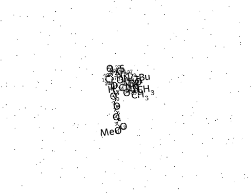 COC(=O)CCOCCOCCOCCOc1cccc(C(=O)c2csc([C@@H]3CCCN3C(=O)[C@H](C)NC(=O)[C@H](C)N(C)C(=O)OC(C)(C)C)n2)c1